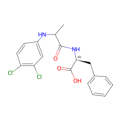 CC(Nc1ccc(Cl)c(Cl)c1)C(=O)N[C@@H](Cc1ccccc1)C(=O)O